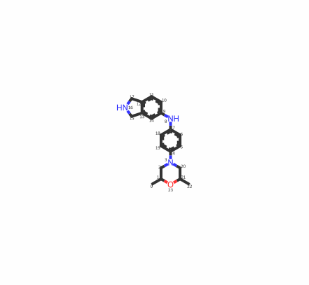 CC1CN(c2ccc(Nc3ccc4c(c3)CNC4)cc2)CC(C)O1